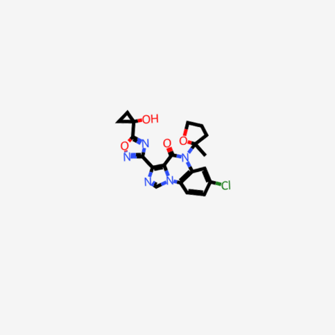 CC1(n2c(=O)c3c(-c4noc(C5(O)CC5)n4)ncn3c3ccc(Cl)cc32)CCCO1